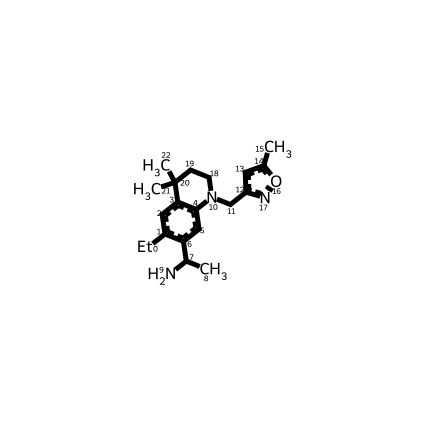 CCc1cc2c(cc1C(C)N)N(Cc1cc(C)on1)CCC2(C)C